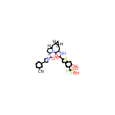 N#Cc1cccc(C2CN(C(=O)[C@@H]3CC[C@@H]4C[C@H]5C[C@H]5C[C@H](NC(=O)c5cc6cc(C(F)(F)P(=O)(O)O)ccc6s5)C(=O)N43)C2)c1